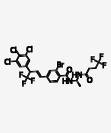 C[C@H](NC(=O)CCC(F)(F)F)NC(=O)c1ccc(/C=C/C(c2cc(Cl)c(Cl)c(Cl)c2)C(F)(F)F)cc1Br